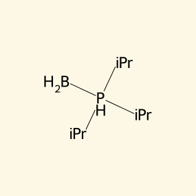 B[PH](C(C)C)(C(C)C)C(C)C